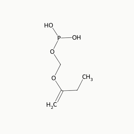 C=C(CC)OCOP(O)O